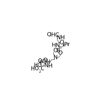 CC(C)C[C@@H](NC(=O)CNC=O)B1OCCN(CCCC(=O)NC(C(=O)O)P(=O)(O)O)CCO1